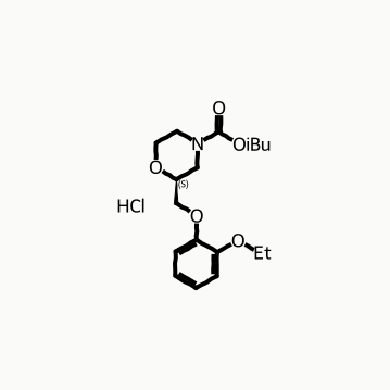 CCOc1ccccc1OC[C@@H]1CN(C(=O)OCC(C)C)CCO1.Cl